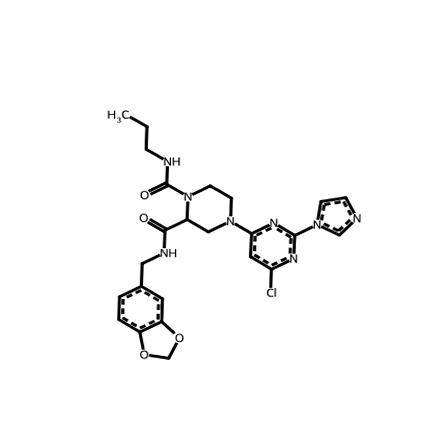 CCCNC(=O)N1CCN(c2cc(Cl)nc(-n3ccnc3)n2)CC1C(=O)NCc1ccc2c(c1)OCO2